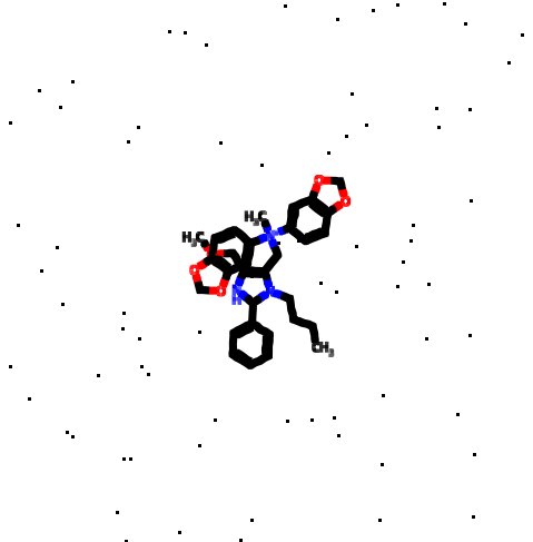 CCCCN1C(C[N+](C)(c2ccc3c(c2)OCO3)c2ccc3c(c2)OCO3)=C(COC)NC1c1ccccc1